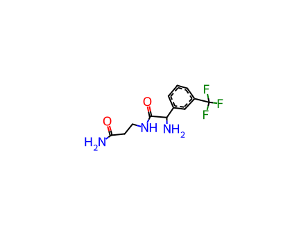 NC(=O)CCNC(=O)C(N)c1cccc(C(F)(F)F)c1